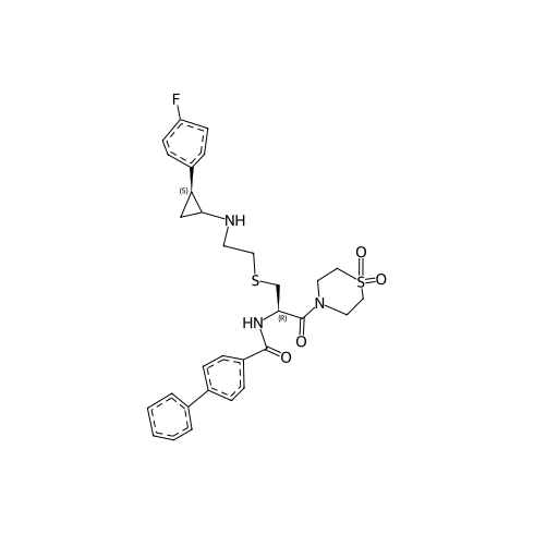 O=C(N[C@@H](CSCCNC1C[C@H]1c1ccc(F)cc1)C(=O)N1CCS(=O)(=O)CC1)c1ccc(-c2ccccc2)cc1